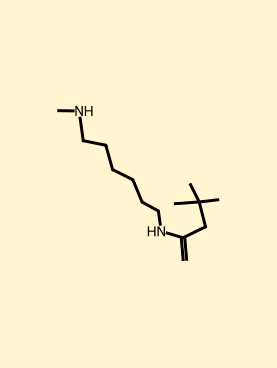 C=C(CC(C)(C)C)NCCCCCCNC